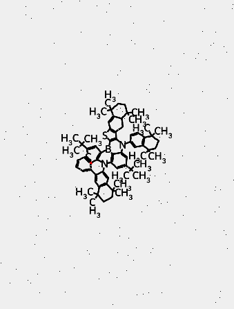 CC(C)(C)C1=CC2=C(CC1)N(c1cc3c(cc1-c1c#cccc1)C(C)(C)CCC3(C)C)c1cc(C(C)(C)C)cc3c1B2c1sc2c(c1N3c1ccc3c(c1)C(C)(C)CCC3(C)C)CC1C(=C2)C(C)(C)CCC1(C)C